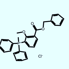 COc1c(C(=O)OCc2ccccc2)cccc1[P+](C)(c1ccccc1)c1ccccc1.[Cl-]